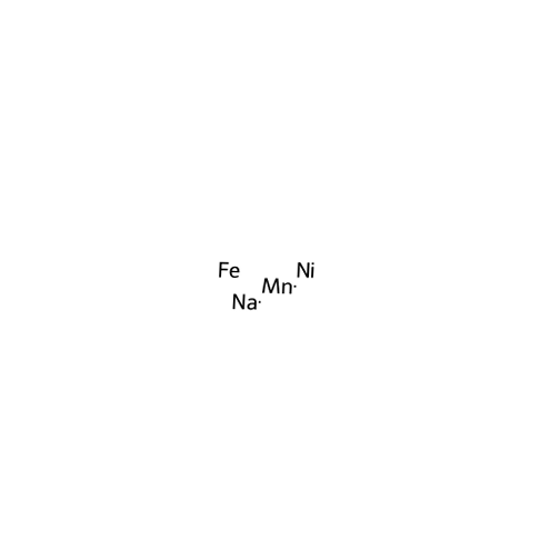 [Fe].[Mn].[Na].[Ni]